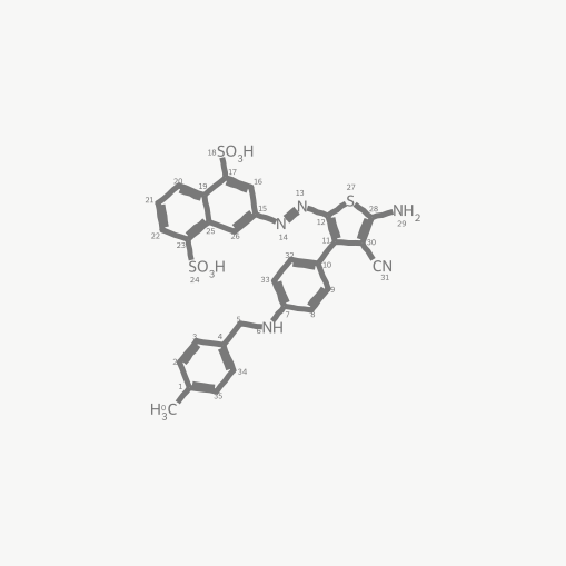 Cc1ccc(CNc2ccc(-c3c(/N=N/c4cc(S(=O)(=O)O)c5cccc(S(=O)(=O)O)c5c4)sc(N)c3C#N)cc2)cc1